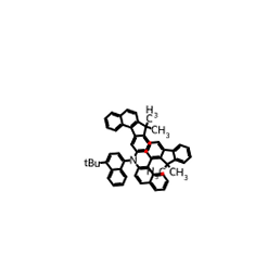 CC(C)(C)c1ccc(N(c2ccc3c(c2)-c2c(ccc4ccccc24)C3(C)C)c2ccc3ccccc3c2-c2cccc3c2C(C)(C)c2ccccc2-3)c2ccccc12